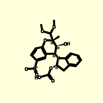 COC(OC)[C@@]1(C)Oc2ccc([N+](=O)[O-])cc2[C@H](N2c3ccccc3C[C@@H]2OC(=O)O)[C@H]1O